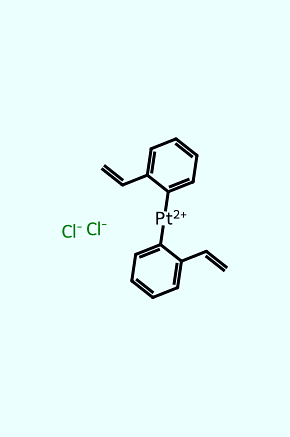 C=Cc1cccc[c]1[Pt+2][c]1ccccc1C=C.[Cl-].[Cl-]